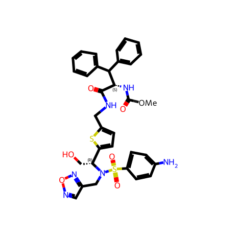 COC(=O)N[C@H](C(=O)NCc1ccc([C@@H](CO)N(Cc2cnon2)S(=O)(=O)c2ccc(N)cc2)s1)C(c1ccccc1)c1ccccc1